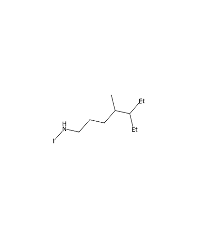 CCC(CC)C(C)CCCNI